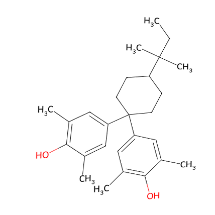 CCC(C)(C)C1CCC(c2cc(C)c(O)c(C)c2)(c2cc(C)c(O)c(C)c2)CC1